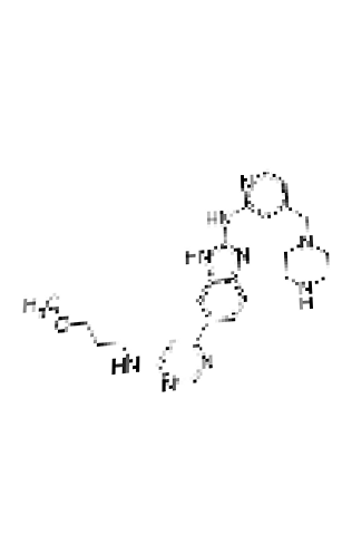 COCCCNc1cc(-c2ccc3nc(Nc4cc(CN5CCNCC5)ccn4)[nH]c3c2)ncn1